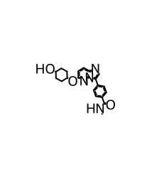 CNC(=O)c1ccc(-c2cnc3ccc(OC4CCC(O)CC4)nn23)cc1